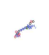 Nc1ncnc2c1c(-c1ccc(Oc3ccccc3)cc1)nn2[C@H]1CCN(C2CN(C3CN(c4ccc5c(c4)C(=O)N([C@@H]4CCC(=O)NC4=O)C5=O)C3)C2)C[C@@H]1F